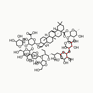 CC[C@H](C)[C@H](C[C@H](O)CC(=O)O[C@H]1[C@@H](O)[C@@H](C)O[C@@H](OC(=O)[C@]23CCC(C)(C)C[C@H]2C2=CC[C@@H]4[C@@]5(C)CC[C@H](O[C@@H]6O[C@H](C(=O)O)[C@@H](O)[C@H](O[C@@H]7OC[C@@H](O)[C@H](O)[C@H]7O)[C@H]6O[C@@H]6O[C@H](CO)[C@H](O)C(O)[C@H]6O)[C@@](C)(C=O)[C@@H]5CC[C@@]4(C)[C@]2(C)CC3)[C@@H]1O[C@@H]1O[C@@H](C)[C@H](O[C@@H]2OC[C@@H](O)[C@H](O)[C@H]2O)[C@@H](O)[C@H]1O)OC(=O)C[C@@H](O)C[C@H](O[C@@H]1O[C@@H](CO)[C@H](O)[C@H]1O[C@@H]1O[C@@H](C)[C@H](O)[C@@H](O)[C@H]1O)[C@@H](C)CC